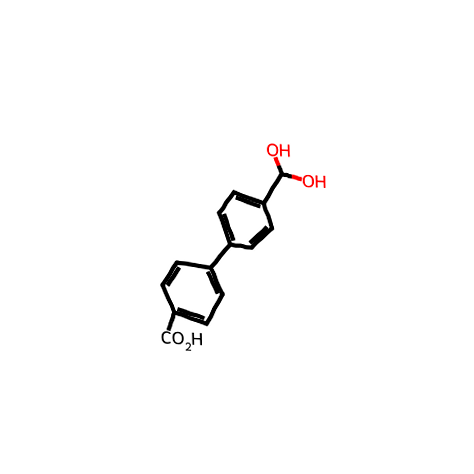 O=C(O)c1ccc(-c2ccc(C(O)O)cc2)cc1